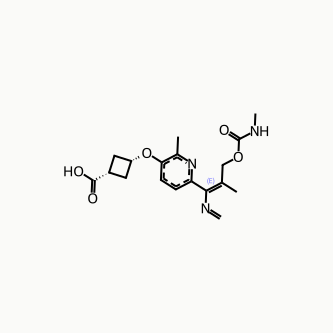 C=N/C(=C(\C)COC(=O)NC)c1ccc(O[C@H]2C[C@@H](C(=O)O)C2)c(C)n1